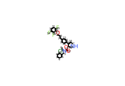 CCN(Cc1ccccc1Cl)C(=O)OC1CNCC=C1c1ccc(CCCOc2c(F)ccc(F)c2F)cc1